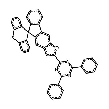 c1ccc(-c2nc(-c3ccccc3)nc(-c3cc4cc5c(cc4o3)-c3ccccc3C53c4ccccc4Sc4ccccc43)n2)cc1